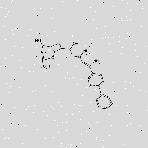 N/C(=C\N(N)CC(O)C1SC2C(O)C=C(C(=O)O)OC21)c1ccc(-c2ccccc2)cc1